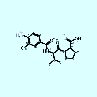 CC(C)C(NC(=O)c1ccc(N)c(Cl)c1)C(=O)N1CCCC1C(=O)O